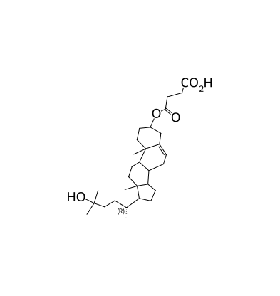 C[C@H](CCC(C)(C)O)C1CCC2C3CC=C4CC(OC(=O)CCC(=O)O)CCC4(C)C3CCC21C